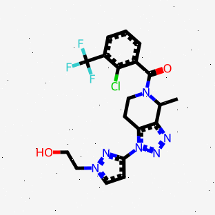 CC1c2nnn(-c3ccn(CCO)n3)c2CCN1C(=O)c1cccc(C(F)(F)F)c1Cl